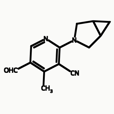 Cc1c(C=O)cnc(N2CC3CC3C2)c1C#N